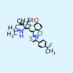 C=CN/C(C=C(C)C)=C(C=C)\C=C(\c1nc(-c2ccc(C(C)F)cc2)cs1)c1cc(OCC)ccc1Cl